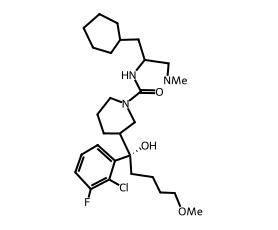 CNCC(CC1CCCCC1)NC(=O)N1CCCC([C@@](O)(CCCCOC)c2cccc(F)c2Cl)C1